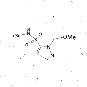 CCCCNS(=O)(=O)c1ccnn1COC